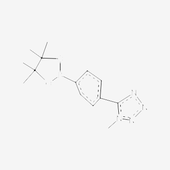 Cn1nnnc1-c1ccc(B2OC(C)(C)C(C)(C)O2)cc1